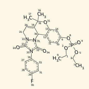 CCOP(=O)(OCC)Oc1ccc2c(c1)OC(C)(C)C1=CCn3c(=O)n(-c4ccc(F)cc4)c(=O)n3C12